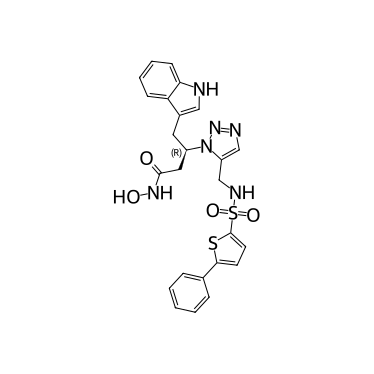 O=C(C[C@@H](Cc1c[nH]c2ccccc12)n1nncc1CNS(=O)(=O)c1ccc(-c2ccccc2)s1)NO